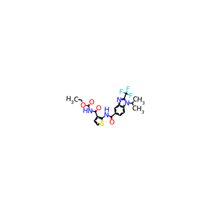 CCOC(=O)NC(=O)c1ccsc1NC(=O)c1ccc2c(c1)nc(C(F)(F)F)n2C(C)C